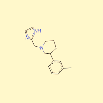 Cc1cccc(C2CCCN(Cc3ncc[nH]3)C2)c1